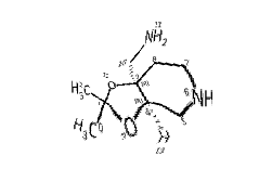 CC1(C)O[C@@H]2CNCC[C@]2(CN)O1